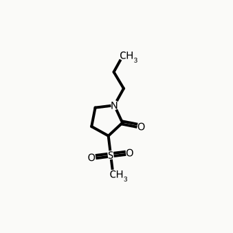 CCCN1CCC(S(C)(=O)=O)C1=O